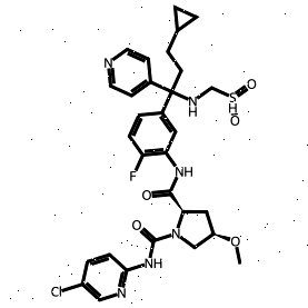 CO[C@@H]1C[C@H](C(=O)Nc2cc(C(CCC3CC3)(NC[SH](=O)=O)c3ccncc3)ccc2F)N(C(=O)Nc2ccc(Cl)cn2)C1